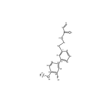 C=CC(=O)OCCc1cccc(-c2ccc(OC(F)(F)F)c(F)c2)c1